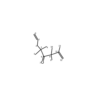 C=CCC(C)(C)C(=O)C(C)(C)C(=C)C